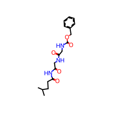 CC(C)CCC(=O)NC(=O)CNC(=O)CNC(=O)OCc1ccccc1